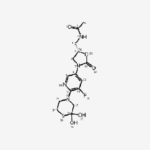 CC(=O)NC[C@H]1CN(c2cnc(N3CCSC(O)(O)C3)c(F)c2)C(=O)O1